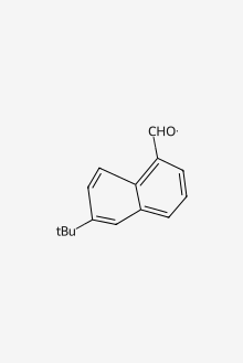 CC(C)(C)c1ccc2c([C]=O)cccc2c1